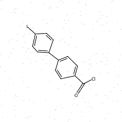 O=C(Cl)c1ccc(-c2ccc(I)cc2)cc1